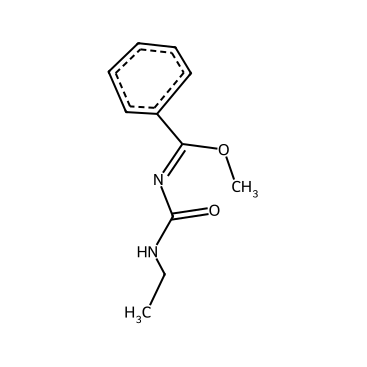 CCNC(=O)N=C(OC)c1ccccc1